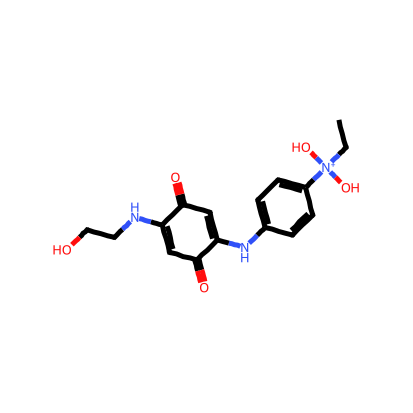 CC[N+](O)(O)c1ccc(NC2=CC(=O)C(NCCO)=CC2=O)cc1